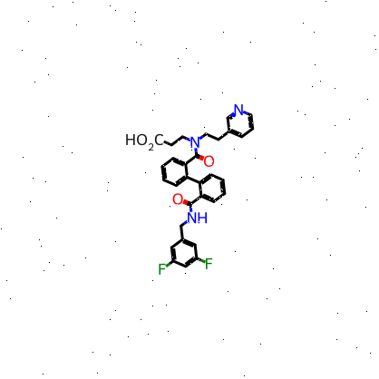 O=C(O)CCN(CCc1cccnc1)C(=O)c1ccccc1-c1ccccc1C(=O)NCc1cc(F)cc(F)c1